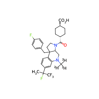 [2H]C([2H])([2H])N1CC2N(C(=O)[C@H]3CC[C@H](C(=O)O)CC3)CCC2(Cc2ccc(F)cc2)c2ccc(C(C)(F)C(F)(F)F)cc21